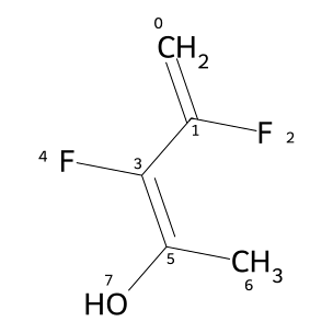 C=C(F)/C(F)=C(\C)O